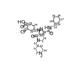 CN1CCC(CN2CCc3c(C(=O)NCc4ccccc4)nn(-c4cccc(Cl)c4)c3C2=O)CC1.O=CO